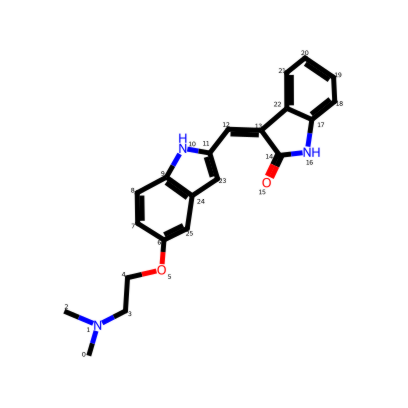 CN(C)CCOc1ccc2[nH]c(C=C3C(=O)Nc4ccccc43)cc2c1